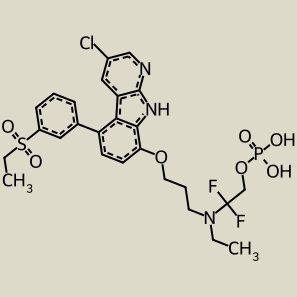 CCN(CCCOc1ccc(-c2cccc(S(=O)(=O)CC)c2)c2c1[nH]c1ncc(Cl)cc12)C(F)(F)COP(=O)(O)O